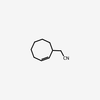 N#CCC1/C=C\CCCCC1